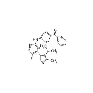 Cc1ncc(-c2nc(Nc3ccc(C(=O)c4ccccn4)cc3)ncc2F)n1C(C)C